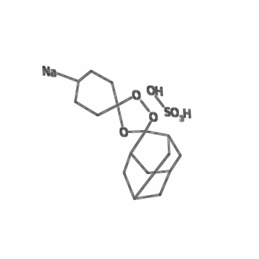 O=S(=O)(O)O.[Na][CH]1CCC2(CC1)OOC1(O2)C2CC3CC(C2)CC1C3